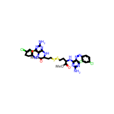 COC(=O)C(CCSSCCC(Nc1nc(N)nc(Cl)c1/N=N\c1ccc(Cl)cc1)C(=O)OC)Nc1nc(N)nc(Cl)c1/N=N\C1=CC=C(Cl)CC1